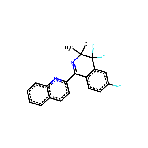 CC1(C)N=C(c2ccc3ccccc3n2)c2ccc(F)cc2C1(F)F